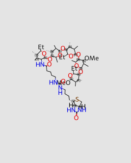 CCC1O[C@@H](O[C@@H]2C(C)O[C@@H](O[C@@H]3C(CC)O[C@H](O[C@@H]4C(C)O[C@@H](O[C@@H]5C(CC)O[C@H](OC)C(C)[C@H]5C)C(C)[C@@H]4OC)C(C)[C@H]3C)C(C)[C@H]2C)C(NC(=O)CCCCNC(=O)NCCCC[C@@H]2SC[C@@H]3NC(=O)N[C@@H]32)[C@@H](C)[C@@H]1C